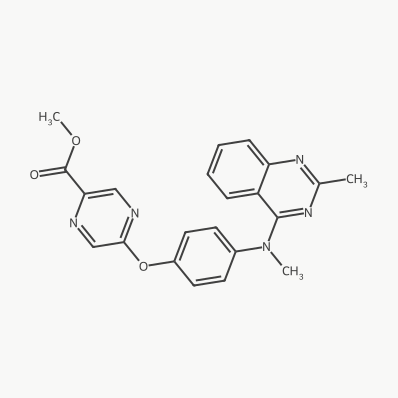 COC(=O)c1cnc(Oc2ccc(N(C)c3nc(C)nc4ccccc34)cc2)cn1